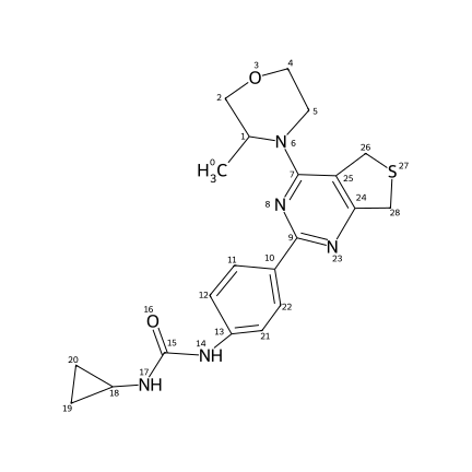 CC1COCCN1c1nc(-c2ccc(NC(=O)NC3CC3)cc2)nc2c1CSC2